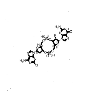 Nc1nc2c(ncn2[C@@H]2O[C@@H]3CO[P@@](=O)(S)OC4C[C@H](n5cnc6c(N)nc(Cl)nc65)O[C@@H]4CO[P@@](=O)(S)OC3C2F)c(=O)[nH]1